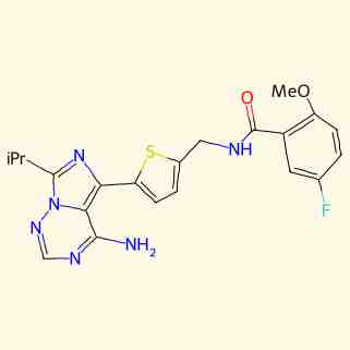 COc1ccc(F)cc1C(=O)NCc1ccc(-c2nc(C(C)C)n3ncnc(N)c23)s1